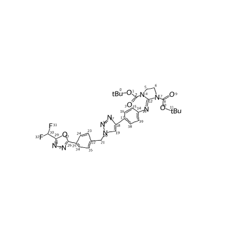 CC(C)(C)OC(=O)N1CCN(C(=O)OC(C)(C)C)C1=Nc1ccc(-c2cn(Cc3ccc(-c4nnc(C(F)F)o4)cc3)nn2)cc1